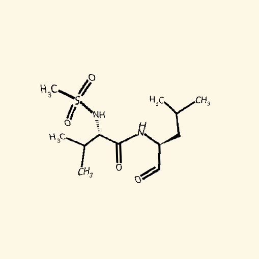 CC(C)C[C@@H](C=O)NC(=O)[C@@H](NS(C)(=O)=O)C(C)C